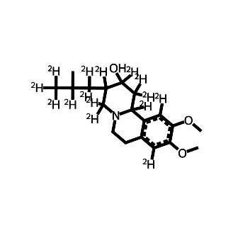 [2H]c1c2c(c([2H])c(OC)c1OC)C1([2H])N(CC2)C([2H])([2H])C([2H])(C([2H])([2H])C([2H])(C)C([2H])([2H])[2H])C([2H])(O)C1([2H])[2H]